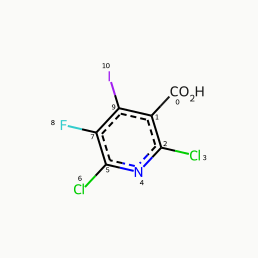 O=C(O)c1c(Cl)nc(Cl)c(F)c1I